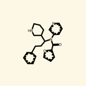 O=C(c1ccco1)N(c1cccnc1)C(CCc1ccccc1)C1CCCNC1